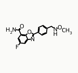 CONCc1ccc(-c2nc3cc(F)cc(C(N)=O)c3o2)cc1